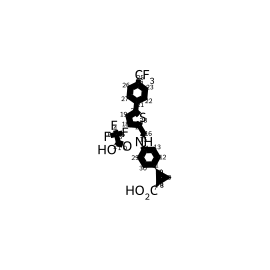 O=C(O)C(F)(F)F.O=C(O)[C@@H]1C[C@H]1c1ccc(NCc2ccc(-c3ccc(C(F)(F)F)cc3)s2)cc1